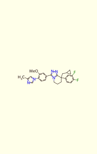 COc1cc(-c2nnc3n2CCCC3(CC2CC2)c2ccc(F)c(F)c2)ccc1-n1cnc(C)c1